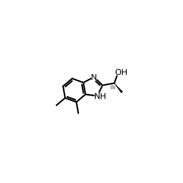 Cc1ccc2nc([C@H](C)O)[nH]c2c1C